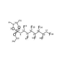 CCO[Si](CC(F)C(F)C(F)C(F)C(F)C(F)CF)(OCC)OCC